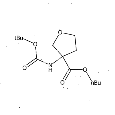 CCCCOC(=O)C1(NC(=O)OC(C)(C)C)CCOC1